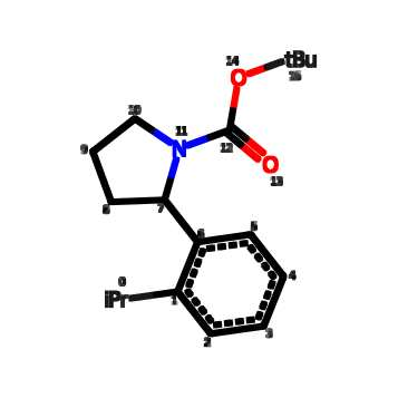 CC(C)c1ccccc1C1CCCN1C(=O)OC(C)(C)C